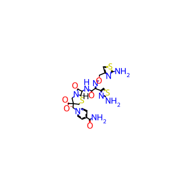 NC(=O)c1cc[n+](CC2(C(=O)[O-])CS[C@@H]3C(NC(=O)C(=NOCc4csc(N)n4)c4csc(N)n4)C(=O)N3C2)cc1